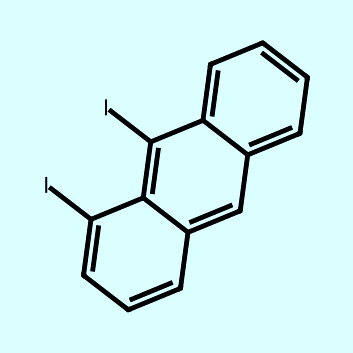 Ic1cccc2cc3ccccc3c(I)c12